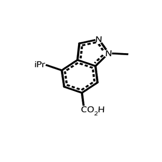 CC(C)c1cc(C(=O)O)cc2c1cnn2C